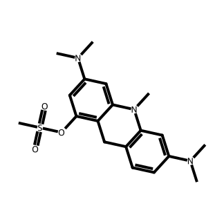 CN(C)c1ccc2c(c1)N(C)c1cc(N(C)C)cc(OS(C)(=O)=O)c1C2